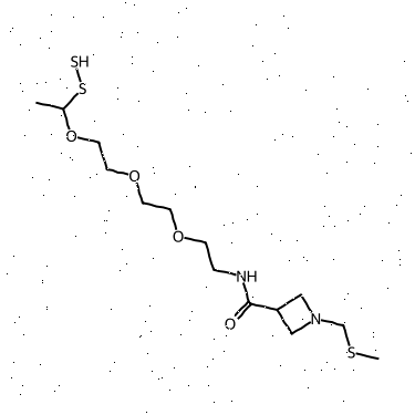 CSCN1CC(C(=O)NCCOCCOCCOC(C)SS)C1